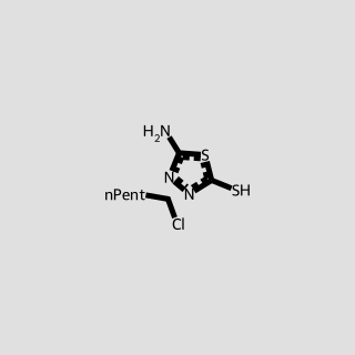 CCCCCCCl.Nc1nnc(S)s1